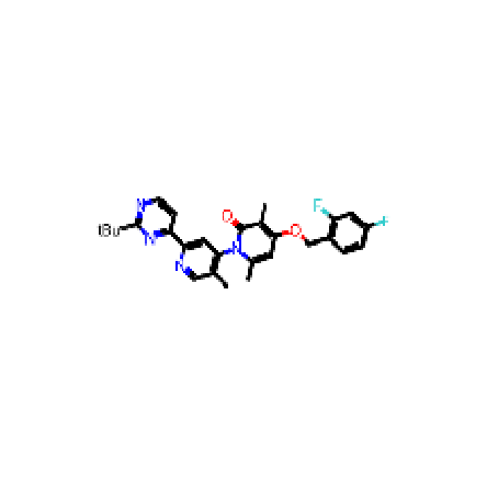 Cc1cnc(-c2ccnc(C(C)(C)C)n2)cc1-n1c(C)cc(OCc2ccc(F)cc2F)c(C)c1=O